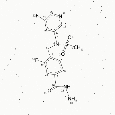 CS(=O)(=O)N(Cc1ccc(C(=O)NN)cc1F)c1cncc(F)c1